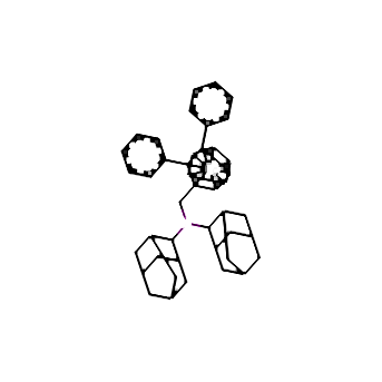 c1ccc([C]23[CH]4[CH]5[C]6(CP(C7C8CC9CC(C8)CC7C9)C7C8CC9CC(C8)CC7C9)[C]2(c2ccccc2)[Fe]54632789[CH]3[CH]2[CH]7[CH]8[CH]39)cc1